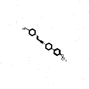 CCC[C@H]1CC[C@H](C=CC#C[C@H]2CC[C@H](c3ccc(OC(F)(F)F)cc3)CC2)CC1